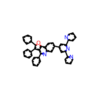 c1ccc(-c2oc3c(c(-c4ccccc4)nc4cc(-c5cc(-c6ccccn6)nc(-c6ccccn6)c5)ccc43)c2-c2ccccc2)cc1